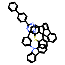 c1ccc(-c2ccc(-c3nc(-c4cccc(-n5c6ccccc6c6ccccc65)c4)nc(-c4cccc5c4C4(c6ccccc6Sc6ccccc64)c4ccccc4-5)n3)cc2)cc1